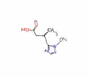 CC(CC(=O)O)c1ncnn1C